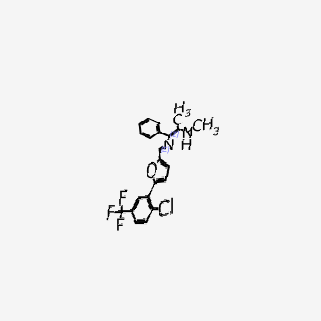 CN/C(C)=C(\N=C\c1ccc(-c2cc(C(F)(F)F)ccc2Cl)o1)c1ccccc1